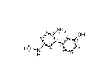 CNc1ccc(N)c(-c2cccc(O)c2)c1